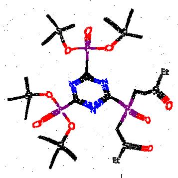 CC[Si](=O)CP(=O)(C[Si](=O)CC)c1nc(P(=O)(O[Si](C)(C)C)O[Si](C)(C)C)nc(P(=O)(O[Si](C)(C)C)O[Si](C)(C)C)n1